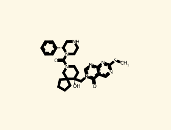 CSc1ncc2c(=O)n(C[C@]3(O)CCN(C(=O)N4CCNC[C@H]4c4ccccc4)CC34CCCC4)cnc2n1